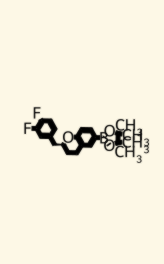 CC1(C)OB(c2ccc3c(c2)CC[C@@H](Cc2ccc(F)c(F)c2)O3)OC1(C)C